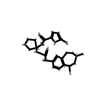 CN1CCc2cc(NC(=O)OC3(NC(=O)c4ccc(Cl)s4)CCOC3)ccc2C(F)C1